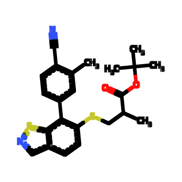 Cc1cc(-c2c(SCC(C)C(=O)OC(C)(C)C)ccc3cnsc23)ccc1C#N